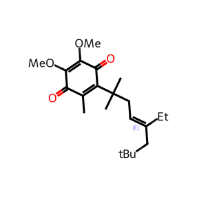 CC/C(=C\CC(C)(C)C1=C(C)C(=O)C(OC)=C(OC)C1=O)CC(C)(C)C